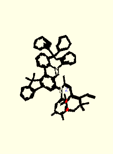 C=CC1=C(/C=C(/C)N(c2cc(C)c(C)cc2C)c2cc3c(c(-c4cccc5c4Nc4ccccc4C5(C4=CCCC=C4)c4ccccc4)c2C)C(C)(C)c2ccccc2-3)C(C)(C)CCC1(C)C